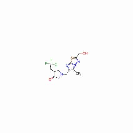 O=C1CN(Cc2nc3sc(CO)nn3c2C(F)(F)F)C[C@@H]1CC(F)(F)Cl